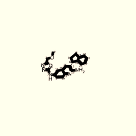 COCc1nnc(Nc2ccc3nc(N)c([C@@H]4CCc5ccccc54)cc3c2)o1